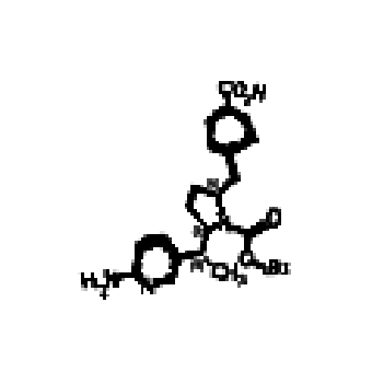 C[C@H](c1ccc(N)nc1)[C@H]1CC[C@@H](Cc2ccc(C(=O)O)cc2)N1C(=O)OC(C)(C)C